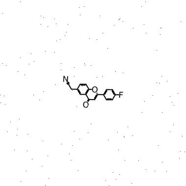 N#CCc1ccc2oc(-c3ccc(F)cc3)cc(=O)c2c1